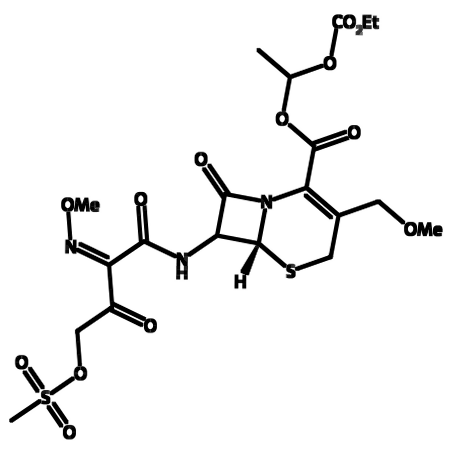 CCOC(=O)OC(C)OC(=O)C1=C(COC)CS[C@@H]2C(NC(=O)/C(=N\OC)C(=O)COS(C)(=O)=O)C(=O)N12